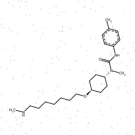 CNCCCCCCCO[C@H]1CC[C@H](N(C)C(=O)Nc2ccc(C)cc2)CC1